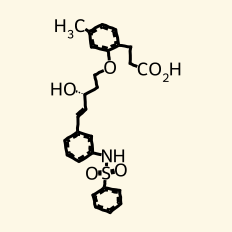 Cc1ccc(CCC(=O)O)c(OCC[C@@H](O)/C=C/c2cccc(NS(=O)(=O)c3ccccc3)c2)c1